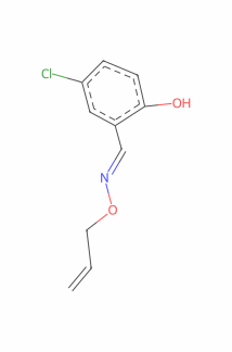 C=CCON=Cc1cc(Cl)ccc1O